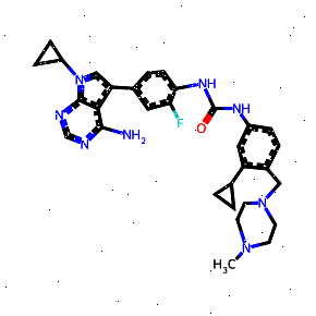 CN1CCN(Cc2ccc(NC(=O)Nc3ccc(-c4cn(C5CC5)c5ncnc(N)c45)cc3F)cc2C2CC2)CC1